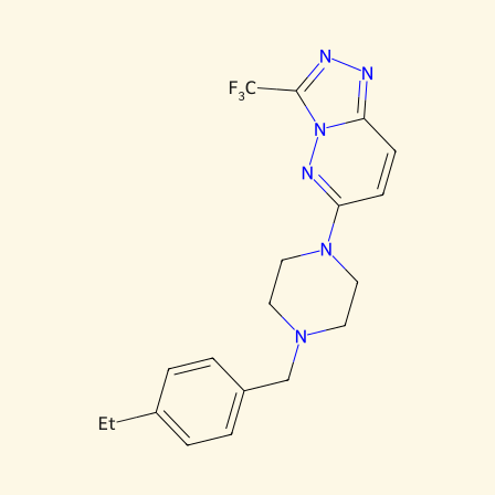 CCc1ccc(CN2CCN(c3ccc4nnc(C(F)(F)F)n4n3)CC2)cc1